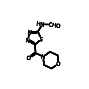 O=CNc1nnc(C(=O)N2CCOCC2)s1